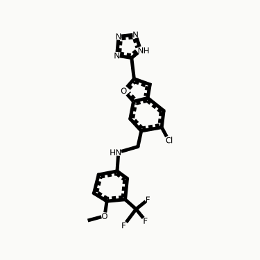 COc1ccc(NCc2cc3oc(-c4nnn[nH]4)cc3cc2Cl)cc1C(F)(F)F